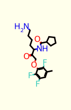 Cc1cc(F)c(F)c(OCC(=O)C(CCCCN)NC(=O)C2CCCC2)c1F